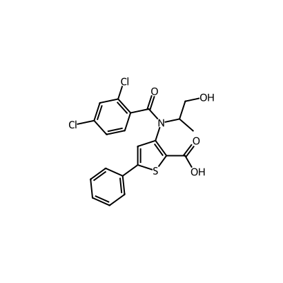 CC(CO)N(C(=O)c1ccc(Cl)cc1Cl)c1cc(-c2ccccc2)sc1C(=O)O